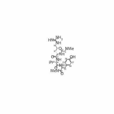 CNCC(=O)N[C@@H](CCCNC(=N)N)C(=O)N[C@H](C(=O)N[C@@H](Cc1ccc(O)cc1)C(=O)NC)C(C)C